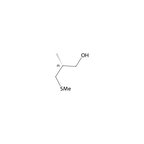 CSC[C@H](C)CO